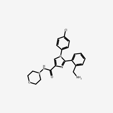 NCc1ccccc1-c1nc(C(=O)NN2CCOCC2)cn1-c1ccc(Cl)cc1